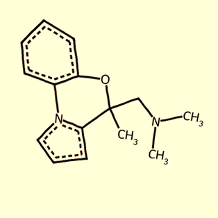 CN(C)CC1(C)Oc2ccccc2-n2cccc21